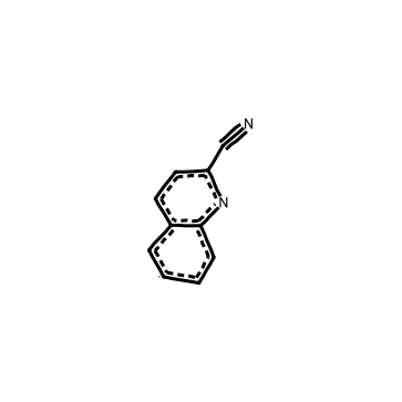 N#Cc1ccc2c[c]ccc2n1